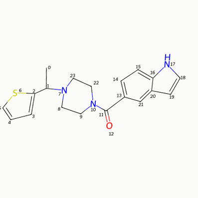 CC(c1cccs1)N1CCN(C(=O)c2ccc3[nH]ccc3c2)CC1